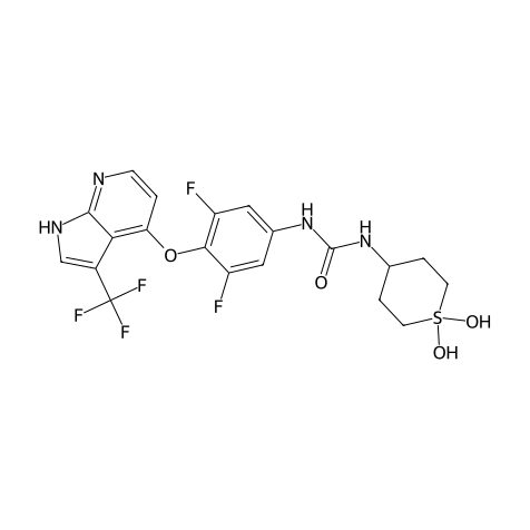 O=C(Nc1cc(F)c(Oc2ccnc3[nH]cc(C(F)(F)F)c23)c(F)c1)NC1CCS(O)(O)CC1